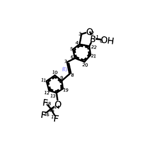 OB1OCc2cc(/C=C/c3cccc(OC(F)(F)F)c3)ccc21